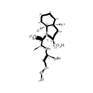 CCC[C@@H](COOCC)N[C@@H](C)C(=O)N1[C@H](C(=O)O)C[C@@H]2CCCC[C@@H]21